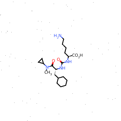 CN(C(=O)[C@@H](CC1CCCCC1)NC(=O)N[C@@H](CCCCN)C(=O)O)C1CC1